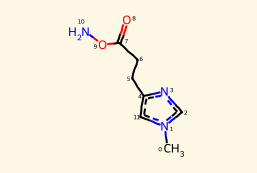 Cn1cnc(CCC(=O)ON)c1